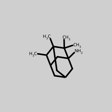 CC1C2CC3CC(N)(C2)C(C)(C)C1(C)C3